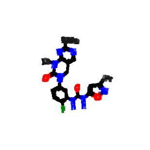 CCN1C(=O)N(c2ccc(F)c(NC(=O)Nc3cc(C(C)C)no3)c2)Cc2cnc(NC)nc21